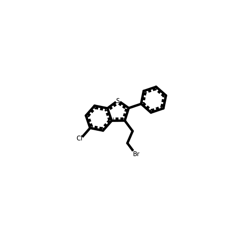 Clc1ccc2sc(-c3ccccc3)c(CCBr)c2c1